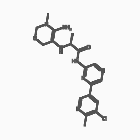 Cc1ncc(-c2cncc(NC(=O)[C@H](C)NC3=C(N)N(C)COC3)n2)cc1Cl